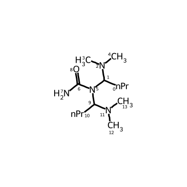 CCCC(N(C)C)N(C(N)=O)C(CCC)N(C)C